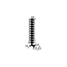 CCOC(=O)C(C)=C(N)C(F)(F)C(F)(F)C(F)(F)C(F)(F)C(F)(F)C(F)(F)C(F)(F)C(F)(F)C(F)(F)C(F)(F)C(F)(F)C(F)(F)F